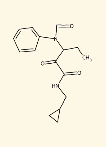 CCC(C(=O)C(=O)NCC1CC1)N(C=O)c1ccccc1